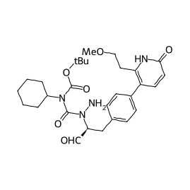 COCCc1[nH]c(=O)ccc1-c1ccc(C[C@@H](C=O)N(N)C(=O)N(C(=O)OC(C)(C)C)C2CCCCC2)cc1